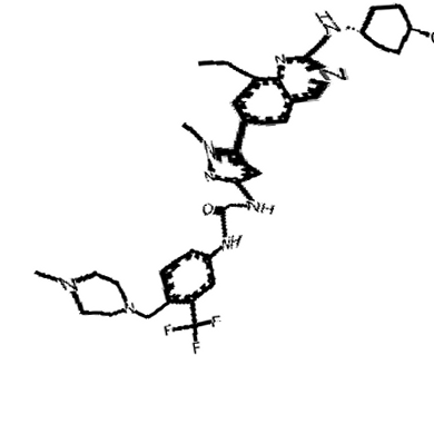 CCc1cc(-c2cc(NC(=O)Nc3ccc(CN4CCN(C)CC4)c(C(F)(F)F)c3)nn2C)cc2cnc(N[C@H]3CC[C@H](O)CC3)nc12